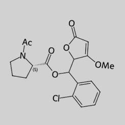 COC1=CC(=O)OC1C(OC(=O)[C@@H]1CCCN1C(C)=O)c1ccccc1Cl